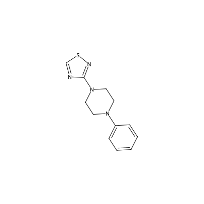 c1ccc(N2CCN(c3ncsn3)CC2)cc1